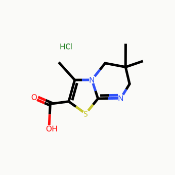 CC1=C(C(=O)O)SC2=NCC(C)(C)CN21.Cl